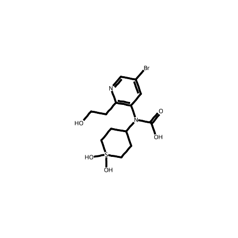 O=C(O)N(c1cc(Br)cnc1CCO)C1CCS(O)(O)CC1